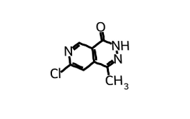 Cc1n[nH]c(=O)c2cnc(Cl)cc12